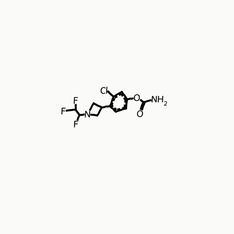 NC(=O)Oc1ccc(C2CN(C(F)C(F)F)C2)c(Cl)c1